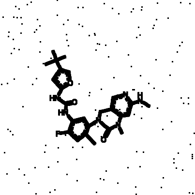 CNc1cc2c(cn1)CN(c1cc(NC(=O)Nc3cc(C(C)(C)C)co3)c(F)cc1C)C(=O)N2C